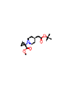 COC(=O)C1(N2CCC(CC(=O)OC(C)(C)C)CC2)CC1